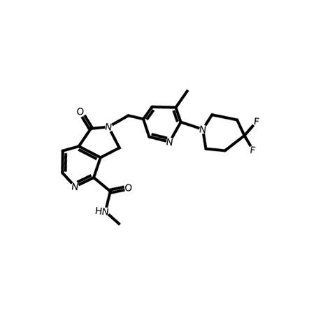 CNC(=O)c1nccc2c1CN(Cc1cnc(N3CCC(F)(F)CC3)c(C)c1)C2=O